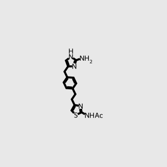 CC(=O)Nc1nc(CCc2ccc(Cc3c[nH]c(N)n3)cc2)cs1